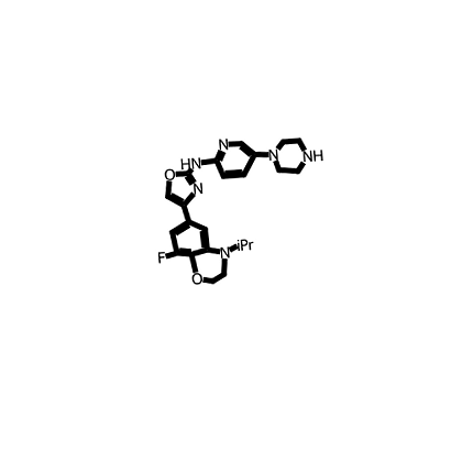 CC(C)N1CCOc2c(F)cc(-c3coc(Nc4ccc(N5CCNCC5)cn4)n3)cc21